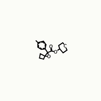 Cc1ccc(C2(C(=O)OC3CCCCC3)OC23CCC3)cc1